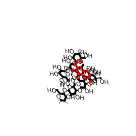 CC1C(O)[C@H](O[C@@H]2OC(CO)[C@H](O)C(O)[C@@H]2O)[C@H](CO)O[C@H]1O[C@@H]1C(O)[C@H](O)C(CO)O[C@@H]1OCC1O[C@@H](O[C@@H]2C(CO)O[C@@H](O[C@@H]3C(CO)O[C@@H](C)[C@@H](C)C3O)C(C)[C@H]2O)[C@H](O)C(O[C@H]2O[C@H](CO)[C@@H](O)C(O)C2O[C@@H]2OC(CO)[C@@H](O[C@@H]3OC(CO)[C@H](O)C(O)[C@@H]3O)C(O)[C@@H]2C)[C@@H]1O